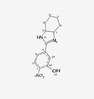 O=[N+]([O-])c1ccc(C2=NC3CCCCC3N2)cc1O